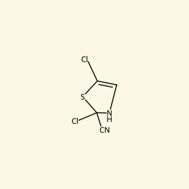 N#CC1(Cl)NC=C(Cl)S1